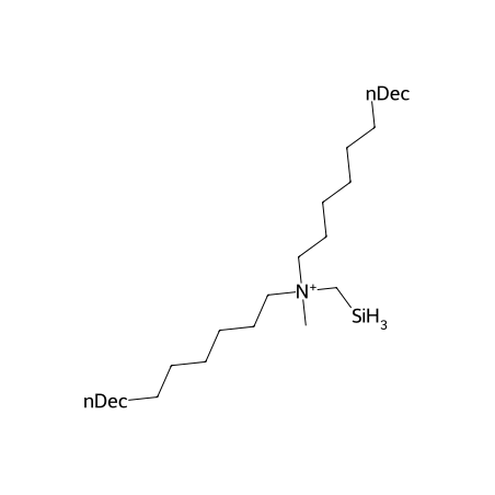 CCCCCCCCCCCCCCCC[N+](C)(C[SiH3])CCCCCCCCCCCCCCCC